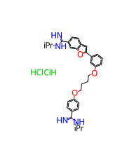 CC(C)NC(=N)c1ccc(OCCCCOc2cccc(-c3cc4ccc(C(=N)NC(C)C)cc4o3)c2)cc1.Cl.Cl